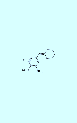 COc1c(F)cc(C=C2CCCCC2)cc1[N+](=O)[O-]